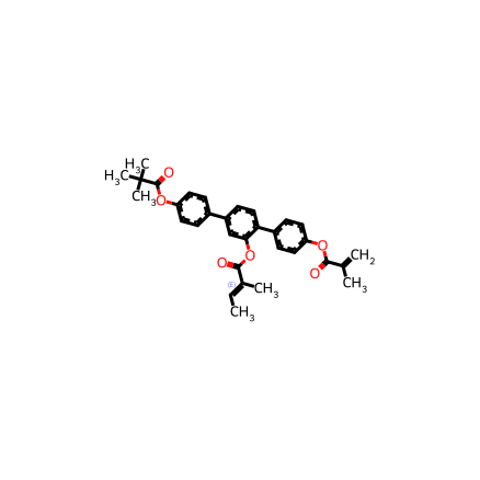 C=C(C)C(=O)Oc1ccc(-c2ccc(-c3ccc(OC(=O)C(C)(C)C)cc3)cc2OC(=O)/C(C)=C/C)cc1